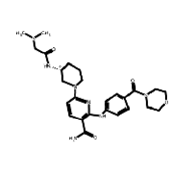 CN(C)CC(=O)N[C@@H]1CCCN(c2ccc(C(N)=O)c(Nc3ccc(C(=O)N4CCOCC4)cc3)n2)C1